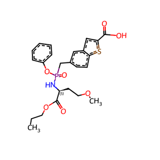 CCCOC(=O)[C@H](CCOC)NP(=O)(Cc1ccc2sc(C(=O)O)cc2c1)Oc1ccccc1